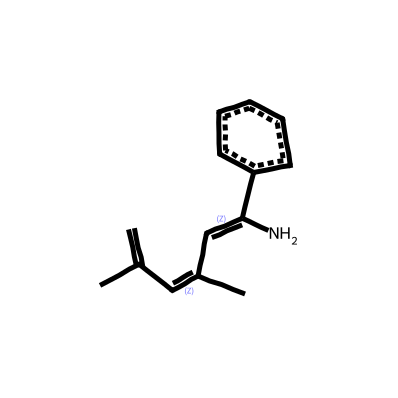 C=C(C)/C=C(C)\C=C(/N)c1ccccc1